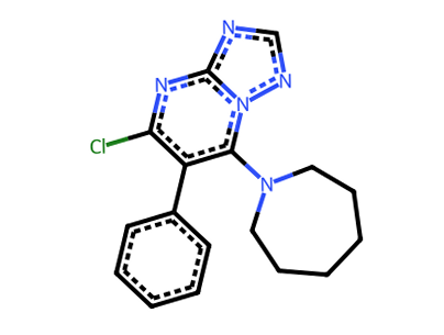 Clc1nc2ncnn2c(N2CCCCCC2)c1-c1ccccc1